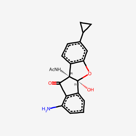 CC(=O)N[C@@]12C(=O)c3c(N)cccc3[C@]1(O)Oc1cc(C3CC3)ccc12